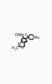 COc1cc2nc(C)ncc2cc1C1(F)CCN(C(C)=O)CC1